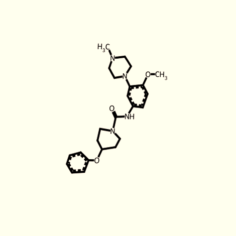 COc1ccc(NC(=O)N2CCC(Oc3ccccc3)CC2)cc1N1CCN(C)CC1